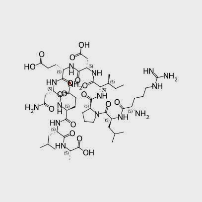 CC[C@H](C)[C@H](NC(=O)[C@@H]1CCCN1C(=O)[C@H](CC(C)C)NC(=O)[C@@H](N)CCCNC(=N)N)C(=O)N[C@@H](CC(=O)O)C(=O)N[C@@H](CCC(=O)O)C(=O)N[C@@H](CC(N)=O)C(=O)N[C@@H](CCC(N)=O)C(=O)N[C@@H](CC(C)C)C(=O)N[C@@H](C)C(=O)O